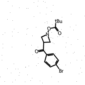 CC(C)(C)C(=O)ON1CC(C(=O)c2ccc(Br)cc2)C1